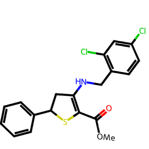 COC(=O)C1=C(NCc2ccc(Cl)cc2Cl)CC(c2ccccc2)S1